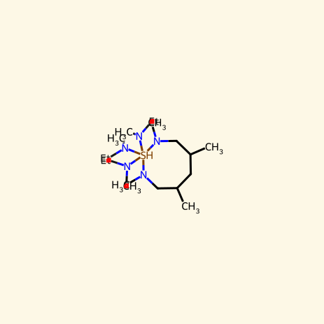 CCN(C)[SH]1(N(C)CC)(N(C)CC)N(C)CC(C)CC(C)CN1C